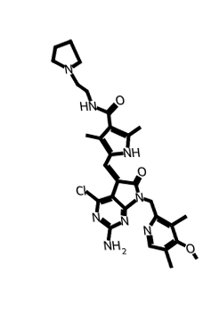 COc1c(C)cnc(CN2C(=O)/C(=C\c3[nH]c(C)c(C(=O)NCCN4CCCC4)c3C)c3c(Cl)nc(N)nc32)c1C